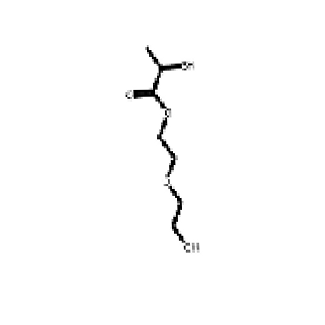 CC(S)C(=O)OCCOCCO